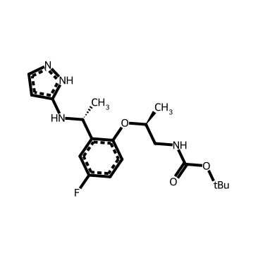 C[C@@H](CNC(=O)OC(C)(C)C)Oc1ccc(F)cc1[C@@H](C)Nc1ccn[nH]1